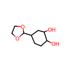 OC1CCC(C2OCCO2)CC1O